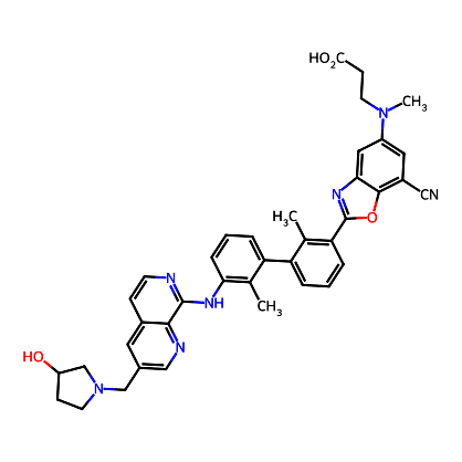 Cc1c(Nc2nccc3cc(CN4CCC(O)C4)cnc23)cccc1-c1cccc(-c2nc3cc(N(C)CCC(=O)O)cc(C#N)c3o2)c1C